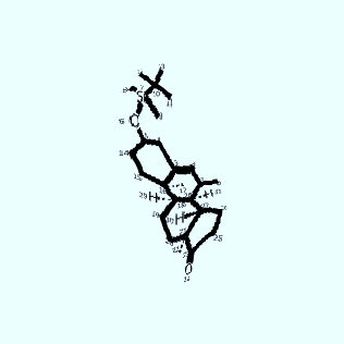 CC1C=C2CC(O[Si](C)(C)C(C)(C)C)CC[C@]2(C)[C@@H]2CC[C@]3(C)C(=O)CC[C@H]3[C@H]12